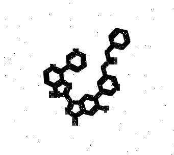 Fc1cc2[nH]nc(-c3nc4c(-c5cccnc5)nccc4[nH]3)c2cc1-c1cncc(CNCc2ccccc2)c1